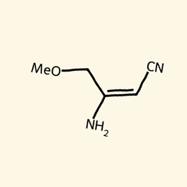 COC/C(N)=C\C#N